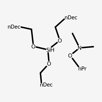 CCCCCCCCCCCO[SiH](OCCCCCCCCCCC)OCCCCCCCCCCC.CCCON(C)C